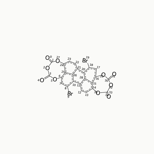 O=C1OC(=O)Oc2cc(Br)c3c4ccc5c6c(cc(Br)c(c7ccc(c2c73)O1)c64)OC(=O)OC(=O)O5